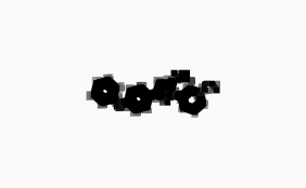 N#CN1CCCC(n2nc(-c3ccc(Oc4ccccc4)cc3)cc2N)C1